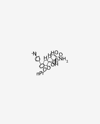 CCCOc1ccc(-c2ccc(N(C)C)cc2)c2c1C(=O)C1=C(O)[C@]3(OI)C(=O)C(C(N)=O)=C(O)C[C@@H]3C[C@@H]1C2